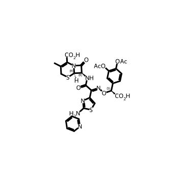 CC(=O)Oc1ccc([C@H](ON=C(C(=O)N[C@@H]2C(=O)N3C(C(=O)O)=C(C)CS[C@H]23)c2csc(N)n2)C(=O)O)cc1OC(C)=O.c1ccncc1